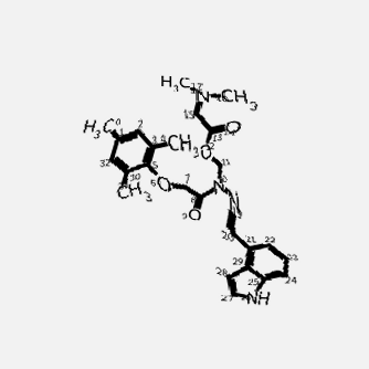 Cc1cc(C)c(OCC(=O)N(COC(=O)CN(C)C)N=Cc2cccc3[nH]ccc23)c(C)c1